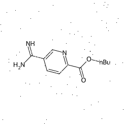 CCCCOC(=O)c1ccc(C(=N)N)cn1